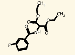 CCOC(=O)C(NC(=O)c1cccc(F)c1)C(=O)OCC